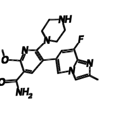 COc1nc(N2CCNCC2)c(-c2cc(F)c3nc(C)cn3c2)cc1C(N)=O